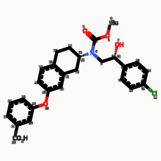 CC(C)(C)OC(=O)N(C[C@H](O)c1ccc(Cl)cc1)[C@H]1CCc2ccc(Oc3cccc(C(=O)O)c3)cc2C1